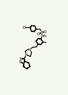 Cc1cc(CCN2CCN(c3nsc4ccccc34)CC2)ccc1NS(=O)(=O)Cc1ccc(Cl)cc1